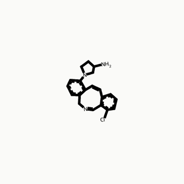 NC1CCN(c2cccc3c2C=Cc2cccc(Cl)c2C=NC3)C1